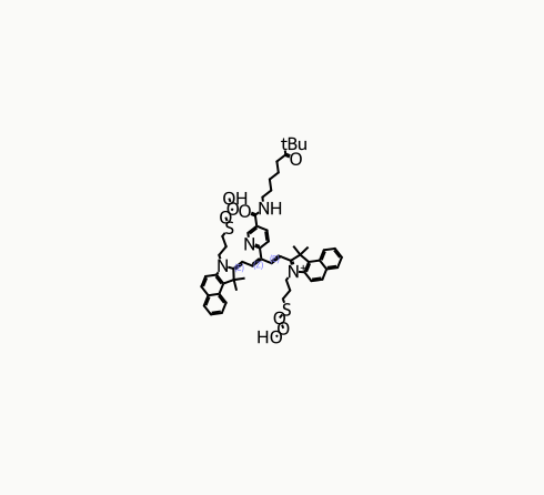 CC(C)(C)C(=O)CCCCCNC(=O)c1ccc(C(=C\C=C2\N(CCCSOOO)c3ccc4ccccc4c3C2(C)C)/C=C/C2=[N+](CCCSOOO)c3ccc4ccccc4c3C2(C)C)nc1